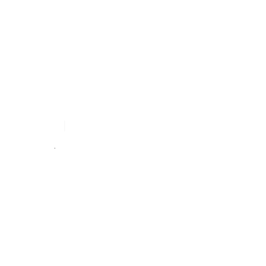 CC/C=C/CC(=O)CCCC(C)OC(C)=O